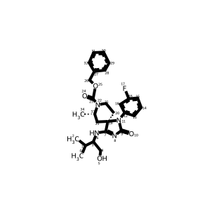 CC(C)C(CO)NC1=NC(=O)N(c2cccc(F)c2)[C@@]12CCN(C(=O)OCc1ccccc1)[C@@H](C)C2